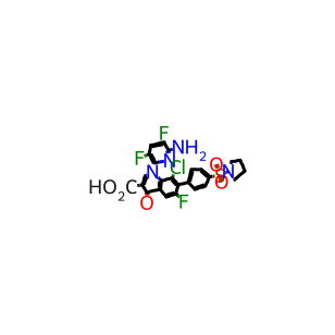 Nc1nc(-n2cc(C(=O)O)c(=O)c3cc(F)c(-c4ccc(S(=O)(=O)N5CCCC5)cc4)c(Cl)c32)c(F)cc1F